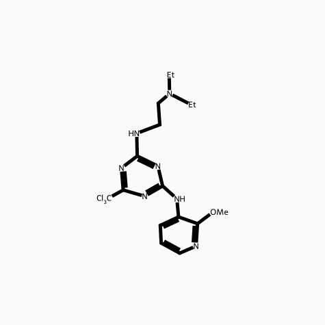 CCN(CC)CCNc1nc(Nc2cccnc2OC)nc(C(Cl)(Cl)Cl)n1